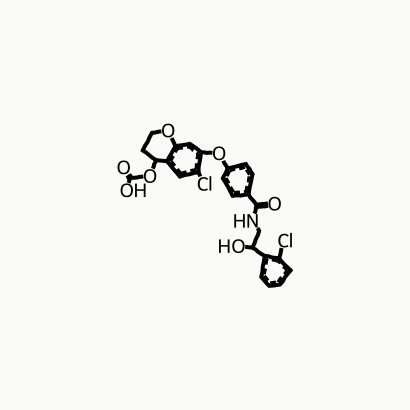 O=C(O)OC1CCOc2cc(Oc3ccc(C(=O)NCC(O)c4ccccc4Cl)cc3)c(Cl)cc21